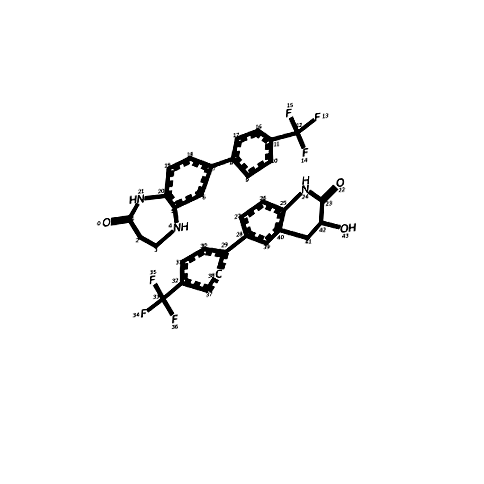 O=C1CCNc2cc(-c3ccc(C(F)(F)F)cc3)ccc2N1.O=C1Nc2ccc(-c3ccc(C(F)(F)F)cc3)cc2CC1O